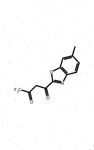 Cc1ccc2nc(C(=O)CC(=O)C(F)(F)F)oc2c1